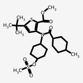 COC(=O)c1sc(C(C)(C)C)cc1N(C(=O)C1CCC(C)CC1)C1CCC(OS(C)(=O)=O)CC1